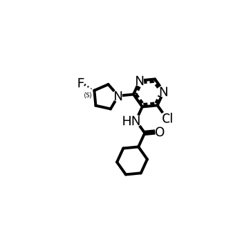 O=C(Nc1c(Cl)ncnc1N1CC[C@H](F)C1)C1CCCCC1